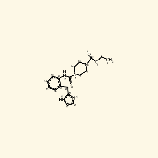 CCOC(=O)N1CCN(C(=S)Nc2ccccc2Cc2ncc[nH]2)CC1